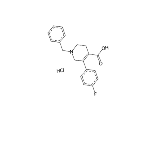 Cl.O=C(O)C1=C(c2ccc(F)cc2)CN(Cc2ccccc2)CC1